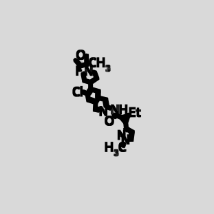 CCC1C(C(=O)Nc2cc3cc(C4CCN([C@]5(C)COC[C@@H]5F)CC4)c(Cl)cc3cn2)C1c1ccn(C)n1